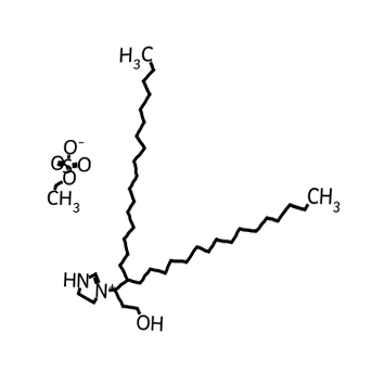 CCCCCCCCCCCCCCCCCC(CCCCCCCCCCCCCCCC)C(CCO)[N+]1=CNCC1.CCOS(=O)(=O)[O-]